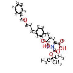 CC(C)(C)OC(=O)N[C@@H](C[C@H](Cc1ccc(CCCOCc2ccccc2)cc1)C(=O)O)C(=O)O